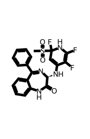 CS(=O)(=O)C1(F)C=C(N[C@H]2N=C(c3ccccc3)c3ccccc3NC2=O)C(F)=C(F)N1